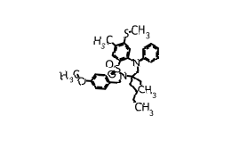 CCCCC1(CC)CN(c2ccccc2)c2cc(SC)c(C)cc2S(=O)(=O)N1Cc1ccc(OC)cc1